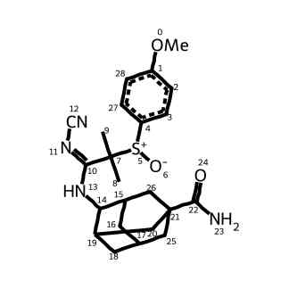 COc1ccc([S+]([O-])C(C)(C)/C(=N\C#N)NC2C3CC4CC2CC(C(N)=O)(C4)C3)cc1